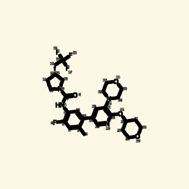 Cc1cc(F)c(NC(=O)N2CC[C@H](CC(F)(F)F)C2)cc1-c1cnc(OC2CCOCC2)c(N2CCOCC2)c1